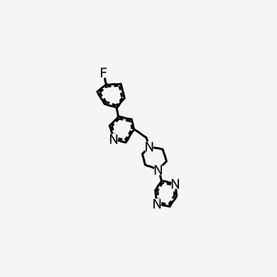 Fc1ccc(-c2cncc(CN3CCN(c4cnccn4)CC3)c2)cc1